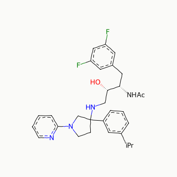 CC(=O)N[C@@H](Cc1cc(F)cc(F)c1)[C@@H](O)CNC1(c2cccc(C(C)C)c2)CCN(c2ccccn2)C1